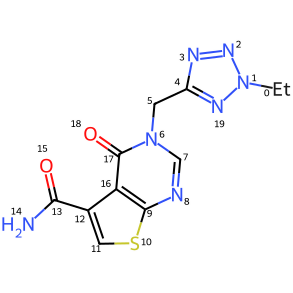 CCn1nnc(Cn2cnc3scc(C(N)=O)c3c2=O)n1